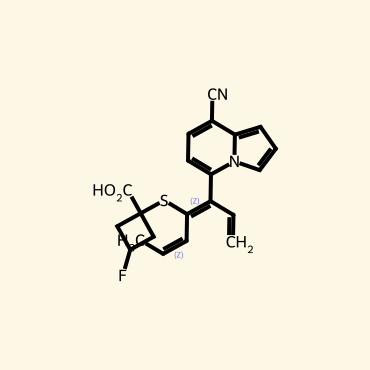 C=C/C(=C(\C=C/C)SC1(C(=O)O)CC(F)C1)c1ccc(C#N)c2cccn12